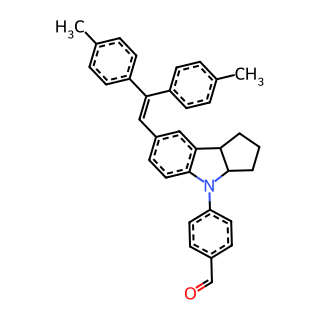 Cc1ccc(C(=Cc2ccc3c(c2)C2CCCC2N3c2ccc(C=O)cc2)c2ccc(C)cc2)cc1